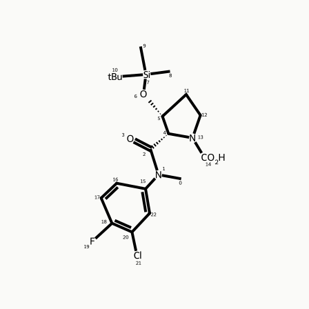 CN(C(=O)[C@@H]1[C@H](O[Si](C)(C)C(C)(C)C)CCN1C(=O)O)c1ccc(F)c(Cl)c1